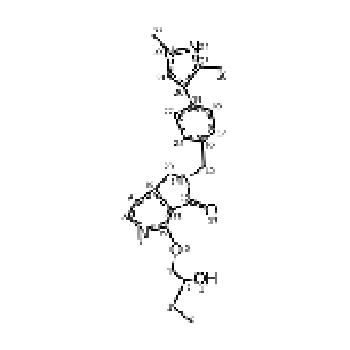 CCC(O)COc1nccc2c1C(=O)N(Cc1ccc(-c3cn(C)nc3C)cc1)C2